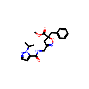 COC(=O)C1(Cc2ccccc2)CC(CNC(=O)c2ccnn2C(C)C)=NO1